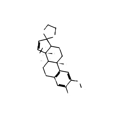 CC[C@]12CC[C@@H]3c4cc(OC)c(O)cc4CC[C@H]3[C@@H]1C=CC21OCCO1